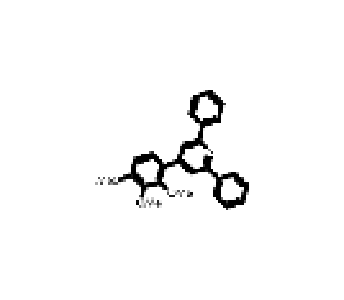 COc1ccc(-c2cc(-c3ccccc3)nc(-c3ccccc3)c2)c(OC)c1OC